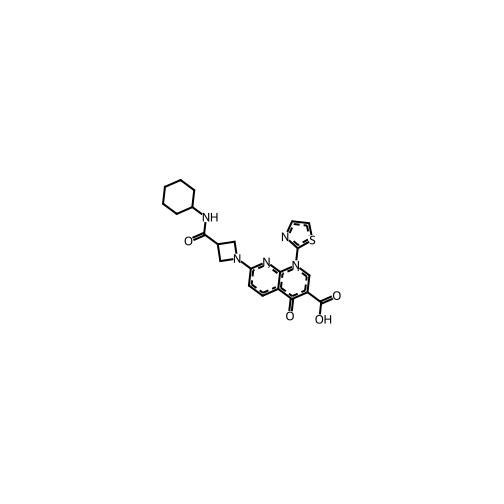 O=C(O)c1cn(-c2nccs2)c2nc(N3CC(C(=O)NC4CCCCC4)C3)ccc2c1=O